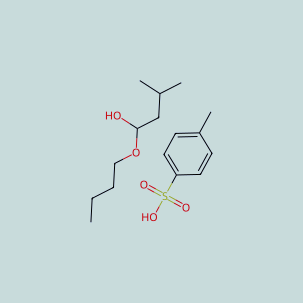 CCCCOC(O)CC(C)C.Cc1ccc(S(=O)(=O)O)cc1